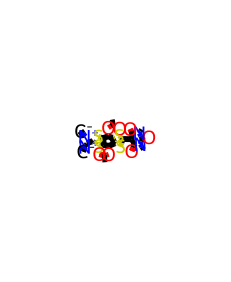 [C-]#[N+]C([N+]#[C-])=C1Sc2c(OC(C)=O)c3c(c(OC(C)=O)c2S1)SC(=C1C(=O)N(C)C(=O)N(C)C1=O)S3